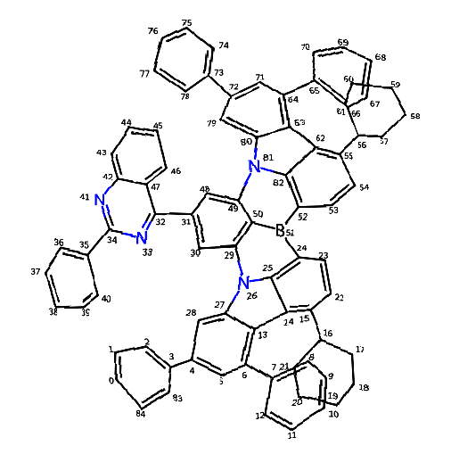 c1ccc(-c2cc(-c3ccccc3)c3c4c(C5CCCCC5)ccc5c4n(c3c2)-c2cc(-c3nc(-c4ccccc4)nc4ccccc34)cc3c2B5c2ccc(C4CCCCC4)c4c5c(-c6ccccc6)cc(-c6ccccc6)cc5n-3c24)cc1